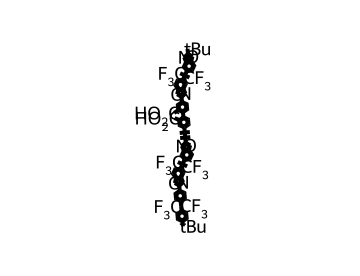 CC(C)(C)c1ccc(C(c2ccc(-c3nc4cc(C(c5ccc6oc(C(C)(C)C(C)(C)c7ccc(-c8ccc(-c9nc%10cc(C(c%11ccc%12oc(C(C)(C)C)nc%12c%11)(C(F)(F)F)C(F)(F)F)ccc%10o9)cc8C(=O)O)c(C(=O)O)c7)nc6c5)(C(F)(F)F)C(F)(F)F)ccc4o3)cc2)(C(F)(F)F)C(F)(F)F)cc1